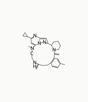 C=C1CCc2ccc(C)cc2C(=C)N2CCCCC2c2cc3nc(C4CC4)cc(n3n2)N(C)CCN1